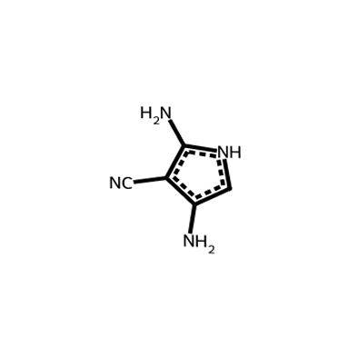 N#Cc1c(N)c[nH]c1N